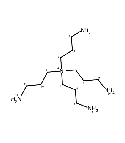 NCCC[N+](CCCN)(CCCN)CCCN